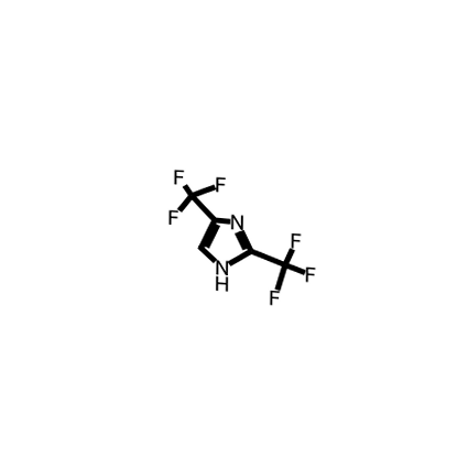 FC(F)(F)c1c[nH]c(C(F)(F)F)n1